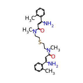 Cc1ccccc1C(N)=CC(=O)N(C)CCSCCN(C)C(=O)C=C(N)c1ccccc1C